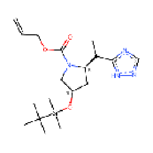 C=CCOC(=O)N1C[C@H](O[Si](C)(C)C(C)(C)C)C[C@@H]1C(C)c1ncn[nH]1